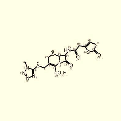 Cn1nnnc1SCC1=C(C(=O)O)N2C(=O)C(NC(=O)Cc3csc(=O)s3)C2SC1